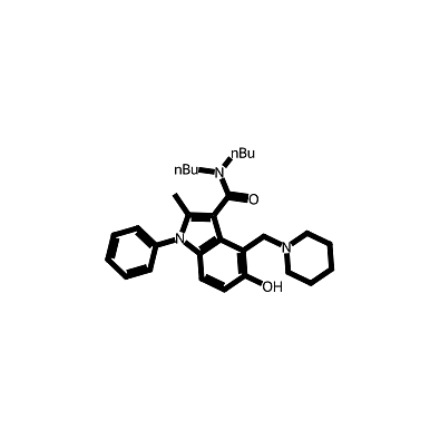 CCCCN(CCCC)C(=O)c1c(C)n(-c2ccccc2)c2ccc(O)c(CN3CCCCC3)c12